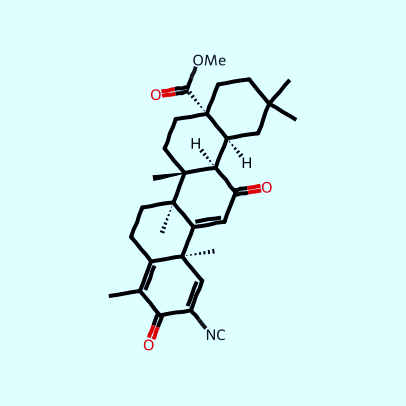 [C-]#[N+]C1=C[C@]2(C)C3=CC(=O)[C@@H]4[C@@H]5CC(C)(C)CC[C@]5(C(=O)OC)CC[C@@]4(C)[C@]3(C)CCC2=C(C)C1=O